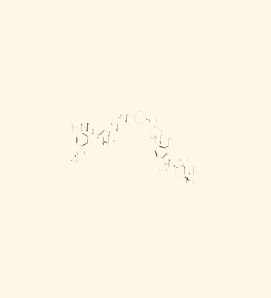 Cc1nc(-c2n[nH]c3ccc(OC4(C)CC4)cc23)cc(N2CCN(CC3CCC(OC4CCN(c5ccc6c(c5F)CN(C5CCC(=O)NC5=O)C6=O)CC4)CC3)CC2)n1